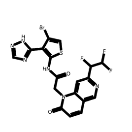 O=C(Cn1c(=O)ccc2cnc(C(F)C(F)F)cc21)Nc1scc(Br)c1-c1ncn[nH]1